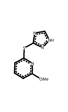 COc1cccc(Sc2nc[nH]n2)n1